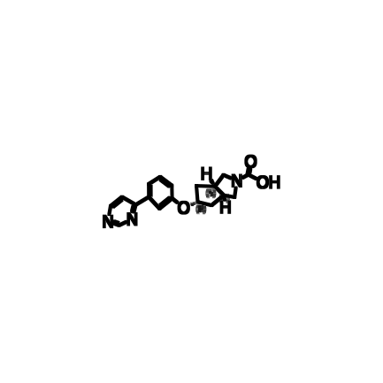 O=C(O)N1C[C@H]2C[C@@H](Oc3cccc(-c4ccncn4)c3)C[C@H]2C1